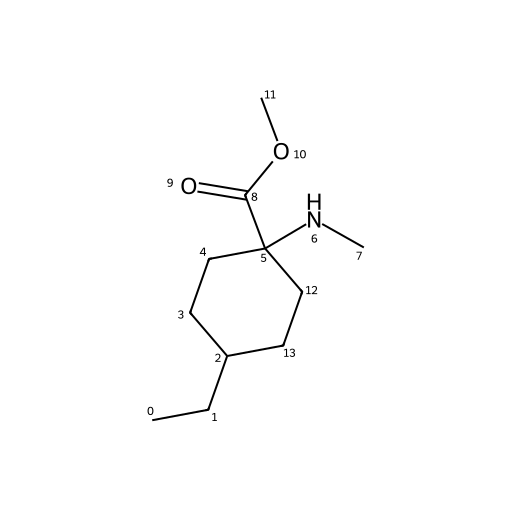 CCC1CCC(NC)(C(=O)OC)CC1